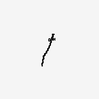 CCCCCCCCCCCCCCCCCC(=O)NCCSC